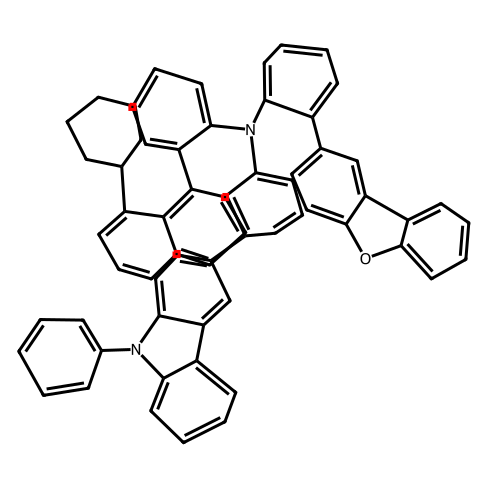 c1ccc(-n2c3ccccc3c3cc(-c4cccc(N(c5ccccc5-c5ccc6oc7ccccc7c6c5)c5ccccc5-c5cccc6cccc(C7CCCCC7)c56)c4)ccc32)cc1